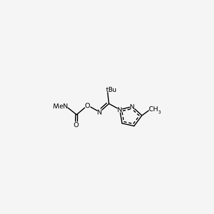 CNC(=O)ON=C(n1ccc(C)n1)C(C)(C)C